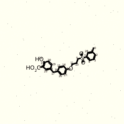 Cc1cccc(S(=O)(=O)CCCOc2ccc(Cc3ccc(O)c(C(=O)O)c3)cc2)c1